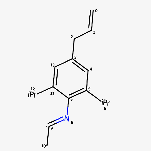 C=CCc1cc(C(C)C)c(N=[C]C)c(C(C)C)c1